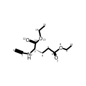 C#CN[C@@H](CCC(=O)OCC)C(=O)OCC